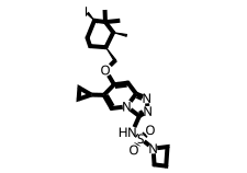 C[C@H]1[C@@H](COc2cc3nnc(NS(=O)(=O)N4CCC4)n3cc2C2CC2)CC[C@@H](I)C1(C)C